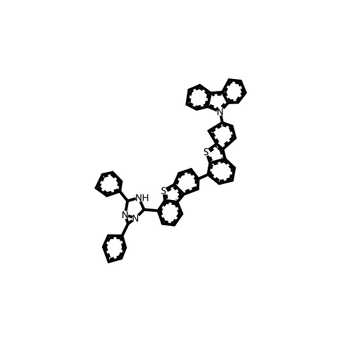 c1ccc(C2NC(c3cccc4c3sc3ccc(-c5cccc6c5sc5cc(-n7c8ccccc8c8ccccc87)ccc56)cc34)N3C(c4ccccc4)N23)cc1